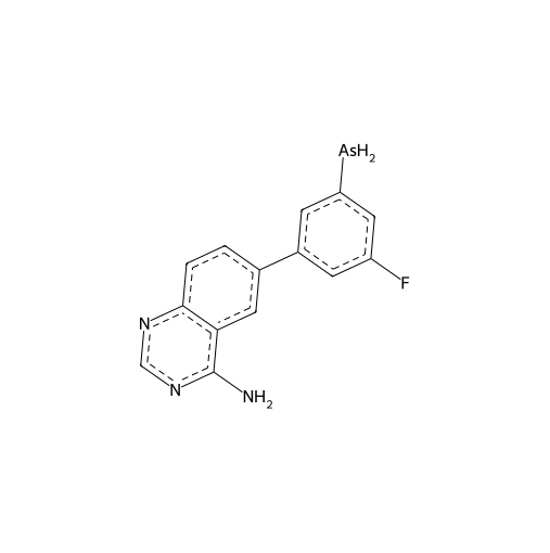 Nc1ncnc2ccc(-c3cc(F)cc([AsH2])c3)cc12